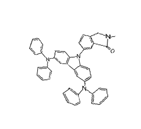 CN1Cc2ccc(-n3c4ccc(N(c5ccccc5)c5ccccc5)cc4c4cc(N(c5ccccc5)c5ccccc5)ccc43)cc2C1=O